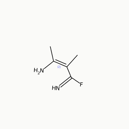 C/C(N)=C(\C)C(=N)F